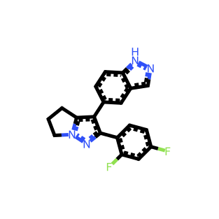 Fc1ccc(-c2nn3c(c2-c2ccc4[nH]ncc4c2)CCC3)c(F)c1